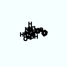 CC(O)C1(C)Nc2c(cnc3[nH]cc(C(=O)c4ccc(Oc5ccccc5)cc4Cl)c23)NC1=O